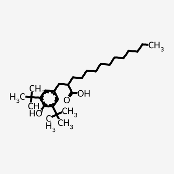 CCCCCCCCCCCCC(Cc1cc(C(C)(C)C)c(O)c(C(C)(C)C)c1)C(=O)O